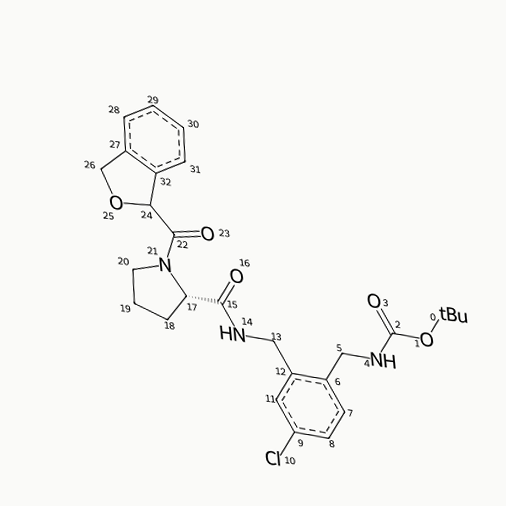 CC(C)(C)OC(=O)NCc1ccc(Cl)cc1CNC(=O)[C@@H]1CCCN1C(=O)C1OCc2ccccc21